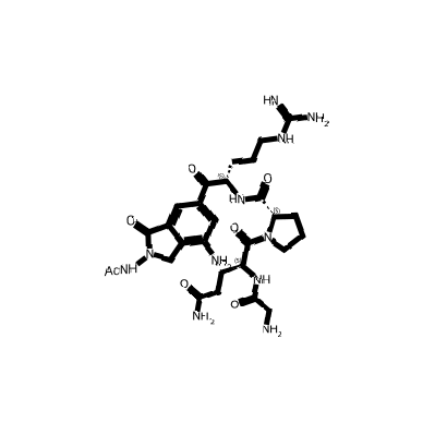 CC(=O)NN1Cc2c(N)cc(C(=O)[C@H](CCCNC(=N)N)NC(=O)[C@@H]3CCCN3C(=O)[C@H](CCC(N)=O)NC(=O)CN)cc2C1=O